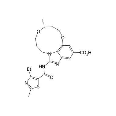 CCc1nc(C)sc1C(=O)Nc1nc2cc(C(=O)O)cc3c2n1CCCO[C@H](C)CCO3